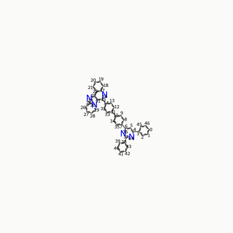 c1ccc(-c2cc(-c3ccc(-c4ccc(-c5nc6ccccc6c6nc7ccccn7c56)cc4)cc3)nc(-c3ccccc3)n2)cc1